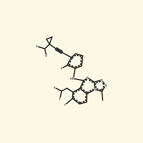 Cc1nnc2nc(Nc3cccc(C#CC4(C(F)F)CC4)c3F)c3c(CC(F)F)c(F)ccc3n12